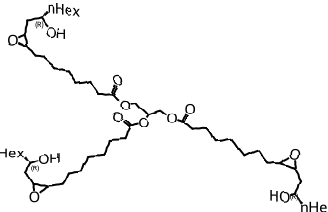 CCCCCC[C@@H](O)CC1OC1CCCCCCCC(=O)OCC(COC(=O)CCCCCCCC1OC1C[C@H](O)CCCCCC)OC(=O)CCCCCCCC1OC1C[C@H](O)CCCCCC